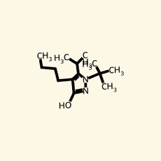 CCCCc1c(O)nn(C(C)(C)C)c1C(C)C